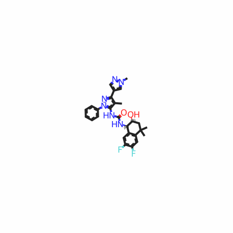 Cc1c(-c2cnn(C)c2)nn(-c2ccccc2)c1NC(=O)N[C@@H]1c2cc(F)c(F)cc2C(C)(C)C[C@H]1O